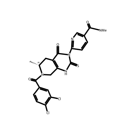 CNC(=O)c1ccc(-n2c(=S)[nH]c3c(c2=O)C[C@@H](C)N(C(=O)c2ccc(Cl)c(Cl)c2)C3)nc1